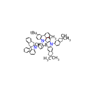 Cc1cc2c3c(c1)N(c1ccc(C(C)(C)C)cc1-c1ccccc1)c1cc(N4c5ccccc5C5(c6ccccc6)Cc6ccccc6CC45C)ccc1B3c1cc3c(cc1N2c1ccc2c(c1)CC(C)(C)C2)CC(C)(C)C3